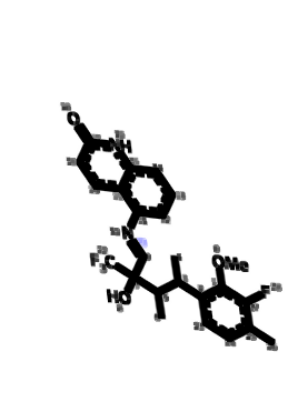 COc1c(C(C)C(C)C(O)(/C=N/c2cccc3[nH]c(=O)ccc23)C(F)(F)F)ccc(C)c1F